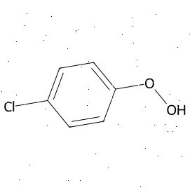 OOc1ccc(Cl)cc1